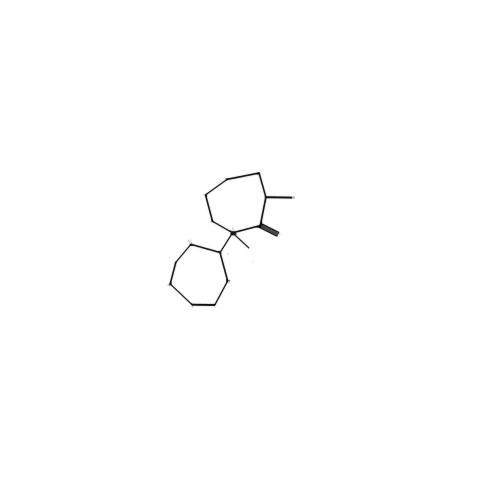 C=C1C(C)CCCCC1(C)C1CCCCCC1